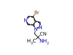 CC(N)(C#N)Cn1ncc2c(Br)cncc21